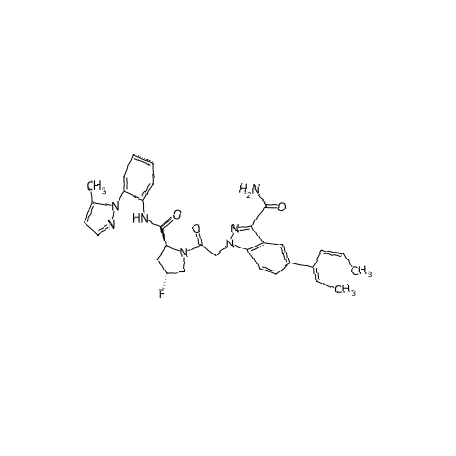 C/C=C\C(=C/C)c1ccc2c(c1)c(C(N)=O)nn2CC(=O)N1C[C@H](F)C[C@H]1C(=O)Nc1ccccc1-n1nccc1C